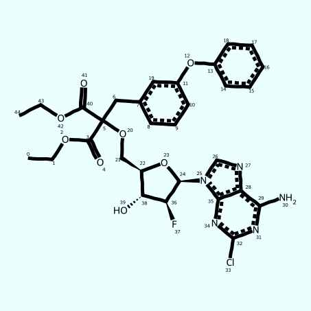 CCOC(=O)C(Cc1cccc(Oc2ccccc2)c1)(OC[C@H]1O[C@@H](n2cnc3c(N)nc(Cl)nc32)[C@@H](F)[C@@H]1O)C(=O)OCC